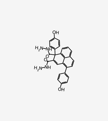 NNC(=O)C1=Cc2c(-c3ccc(O)cc3)ccc3cccc(c23)C1(C(=O)NN)c1ccc(O)cc1